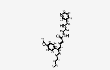 CCCCCCC(=CC=CC(=O)NCCNCc1cccnc1)c1ccc(OC)cc1